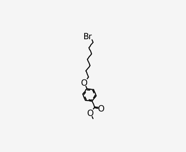 COC(=O)c1ccc(OCCCCCCCBr)cc1